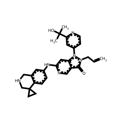 C=CCn1c(=O)c2cnc(Nc3ccc4c(c3)CNCC43CC3)cc2n1-c1ccnc(C(C)(C)O)c1